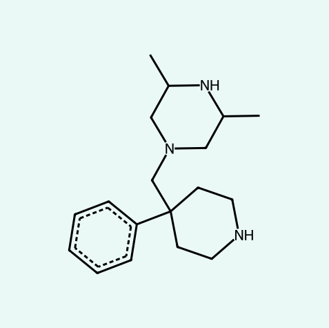 CC1CN(CC2(c3ccccc3)CCNCC2)CC(C)N1